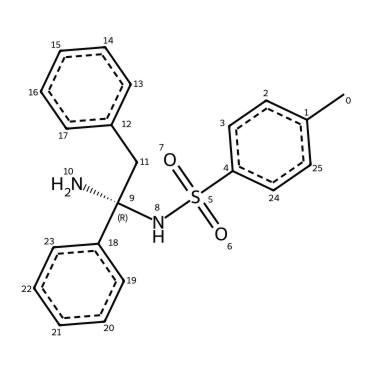 Cc1ccc(S(=O)(=O)N[C@](N)(Cc2ccccc2)c2ccccc2)cc1